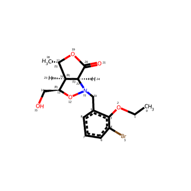 CCOc1c(Br)cccc1CN1O[C@@H](CO)[C@H]2[C@H](C)OC(=O)[C@H]21